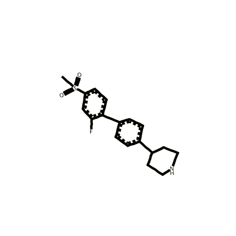 CS(=O)(=O)c1ccc(-c2ccc(C3CCNCC3)cc2)c(F)c1